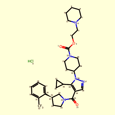 Cl.O=C(OCCN1CCCCC1)N1CCC(n2ncc(C(=O)N3CC[C@@H](c4ccccc4C(F)(F)F)C3)c2C2CC2)CC1